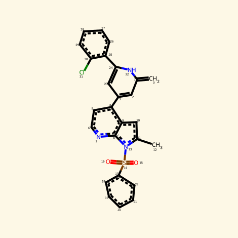 C=C1C=C(c2ccnc3c2cc(C)n3S(=O)(=O)c2ccccc2)C=C(c2ccccc2Cl)N1